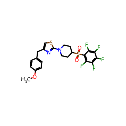 COc1ccc(Cc2csc(N3CCC(S(=O)(=O)c4c(F)c(F)c(F)c(F)c4F)CC3)n2)cc1